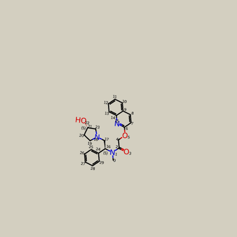 CN(C(=O)COc1ccc2ccccc2n1)[C@H](CN1CC[C@H](O)C1)c1ccccc1